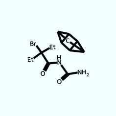 C1C2C3C2C2C1C32.CCC(Br)(CC)C(=O)NC(N)=O